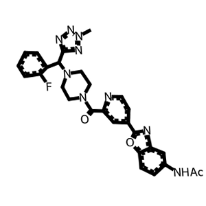 CC(=O)Nc1ccc2oc(-c3ccnc(C(=O)N4CCN(C(c5nnn(C)n5)c5ccccc5F)CC4)c3)nc2c1